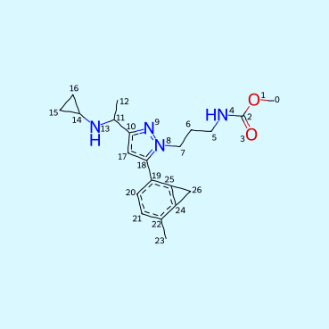 COC(=O)NCCCn1nc(C(C)NC2CC2)cc1-c1ccc(C)c2c1C2